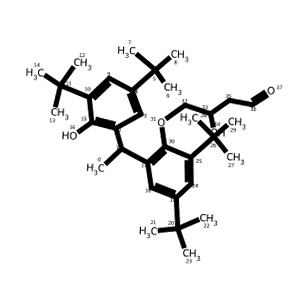 CC(c1cc(C(C)(C)C)cc(C(C)(C)C)c1O)c1cc(C(C)(C)C)cc(C(C)(C)C)c1OCC(O)CC=O